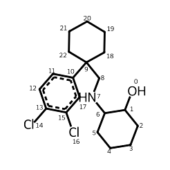 OC1CCCCC1NCC1(c2ccc(Cl)c(Cl)c2)CCCCC1